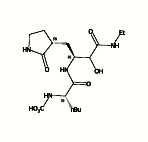 CCCC[C@H](NC(=O)O)C(=O)N[C@@H](C[C@H]1CCNC1=O)C(O)C(=O)NCC